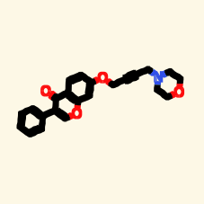 O=c1c(-c2ccccc2)coc2cc(OCC#CCN3CCOCC3)ccc12